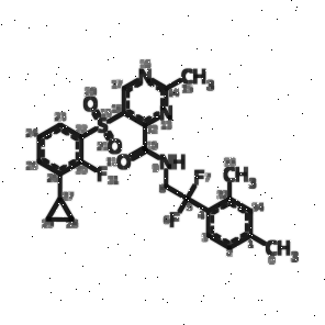 Cc1ccc(C(F)(F)CNC(=O)c2nc(C)ncc2S(=O)(=O)c2cccc(C3CC3)c2F)c(C)c1